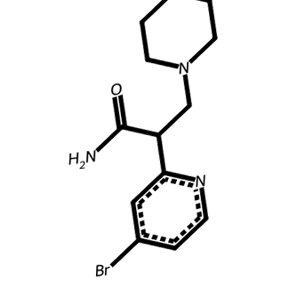 NC(=O)C(CN1CCSCC1)c1cc(Br)ccn1